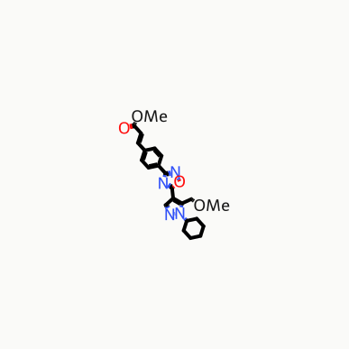 COCc1c(-c2nc(-c3ccc(/C=C/C(=O)OC)cc3)no2)cnn1C1CCCCC1